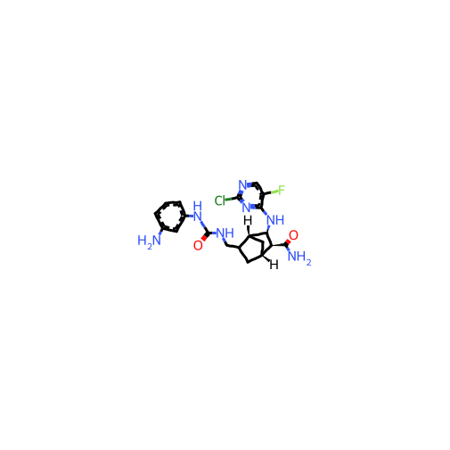 NC(=O)[C@H]1[C@@H]2CC(CNC(=O)Nc3cccc(N)c3)[C@@H](C2)[C@H]1Nc1nc(Cl)ncc1F